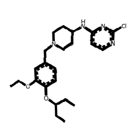 CCOc1cc(CN2CCC(Nc3ccnc(Cl)n3)CC2)ccc1OC(CC)CC